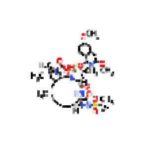 CCC(C)N(C(=O)O)[C@@H]1C(=O)N2[C@@H](C[C@@](C)(Oc3nc(OC)cc4cc(OC)ccc34)C2(F)F)C(=O)N[C@]2(C(=O)NS(=O)(=O)C3(C)CC3)C[C@H]2/C=C\CC[C@H](C)C[C@H]1CC